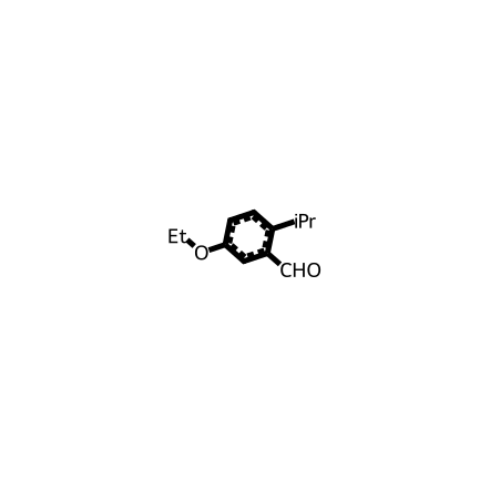 CCOc1ccc(C(C)C)c(C=O)c1